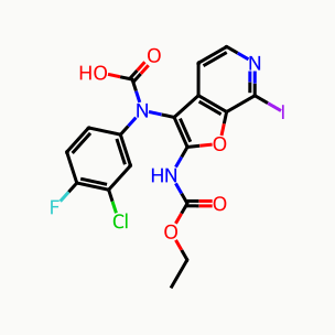 CCOC(=O)Nc1oc2c(I)nccc2c1N(C(=O)O)c1ccc(F)c(Cl)c1